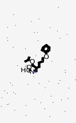 CC(C)OC(=O)C(/C=N\O)CCCCOc1ccccc1